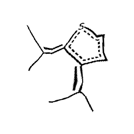 CC(C)=c1ccsc1=C(C)C